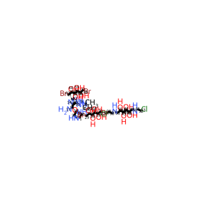 C1CNCCN1.CN(C)/N=N/c1[nH]cnc1C(N)=O.OC(CBr)C(O)C(O)C(O)CBr.O[C@@H]([C@H](O)[C@H](O)CBr)[C@H](O)CBr.O[C@@H]([C@H](O)[C@H](O)CNCCCl)[C@H](O)CNCCCl